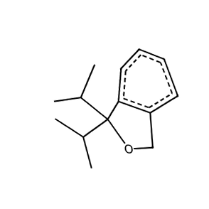 CC(C)C1(C(C)C)OCc2ccccc21